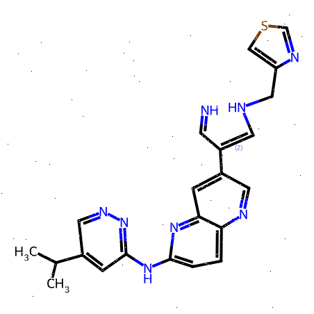 CC(C)c1cnnc(Nc2ccc3ncc(/C(C=N)=C/NCc4cscn4)cc3n2)c1